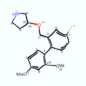 COc1ccc(-c2ccc(F)cc2CO[C@H]2CCNC2)c(OC)c1